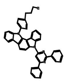 ClCCCc1ccc(-n2c3ccccc3c3ccc4c(c5ccccc5n4-c4cc(-c5ccccc5)nc(-c5ccccc5)n4)c32)cc1